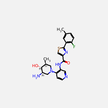 Cc1ccc(F)c(-c2nc(C(=O)Nc3cnccc3N3C[C@@H](N)[C@H](O)[C@@H](C)C3)cs2)c1